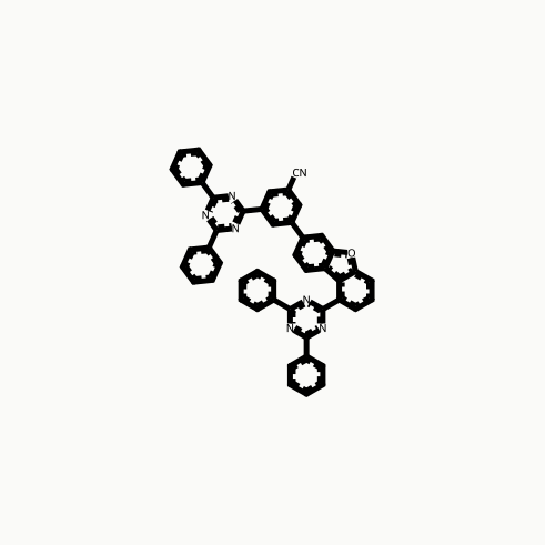 N#Cc1cc(-c2ccc3c(c2)oc2cccc(-c4nc(-c5ccccc5)nc(-c5ccccc5)n4)c23)cc(-c2nc(-c3ccccc3)nc(-c3ccccc3)n2)c1